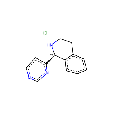 Cl.c1ccc2c(c1)CCN[C@@H]2c1ccncn1